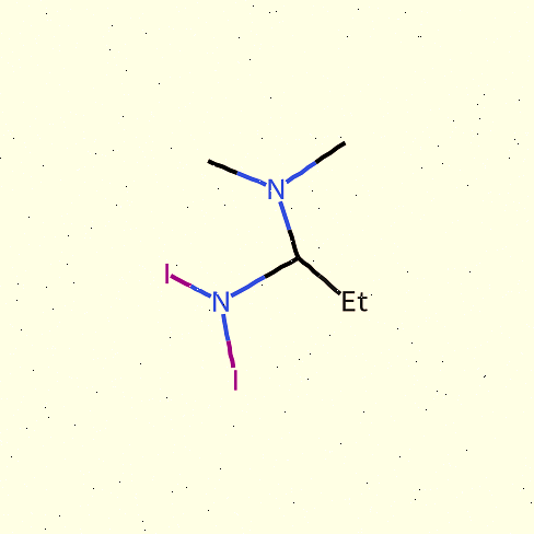 CCC(N(C)C)N(I)I